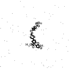 Cn1c(=O)n(C2CCC(=O)NC2=O)c2ccc(C3CCN(CCOC4CC5(C4)CN(C(=O)OC(C)(C)C)C5)CC3)cc21